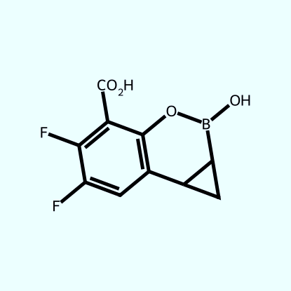 O=C(O)c1c(F)c(F)cc2c1OB(O)C1CC21